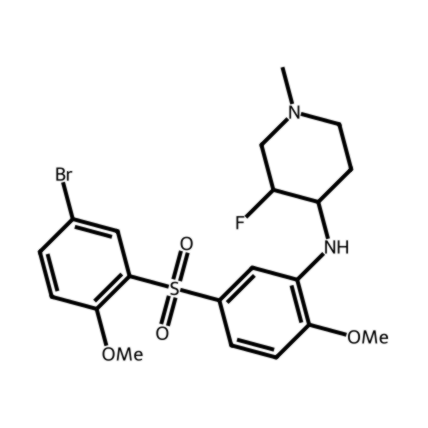 COc1ccc(S(=O)(=O)c2cc(Br)ccc2OC)cc1NC1CCN(C)CC1F